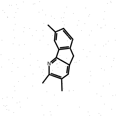 Cc1ccc2c(c1)-c1nc(C)c(C)cc1C2